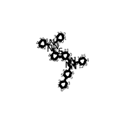 c1ccc(-c2ccc(-c3nc(-c4ccccc4)nc(-c4ccc5sc6c(-c7nc(-c8ccccc8)nc(-c8ccccc8)n7)cccc6c5c4)n3)cc2)cc1